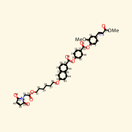 COC(=O)/C=C/c1ccc(OC(=O)c2ccc(OC(=O)c3ccc4cc(OCCCCCCOC(=O)CN5C(=O)C=CC5=O)ccc4c3)cc2)c(OC)c1